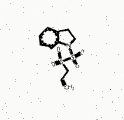 C=CCS(=O)(=O)S(=O)(=O)N1CCc2ccccc21